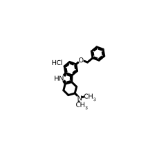 CN(C)C1CCc2[nH]c3ccc(OCc4ccccc4)cc3c2C1.Cl